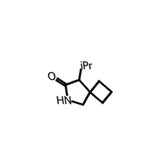 CC(C)C1C(=O)NCC12CCC2